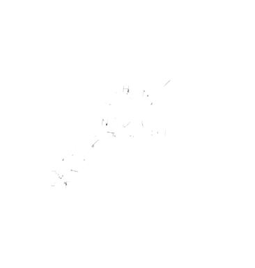 C=CCN1CC[C@@]2(c3cccc(O)c3)C[C@H](N(C)C(=O)C#Cc3ccc(C(F)(F)F)cc3)CC[C@@H]2C1